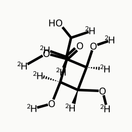 [2H]O[C@@]([2H])([C@]([2H])(O[2H])[C@]([2H])(O[2H])C([2H])O)[C@@]([2H])(O[2H])C([2H])=O